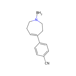 BN1CCC=C(c2ccc(C#N)cc2)CC1